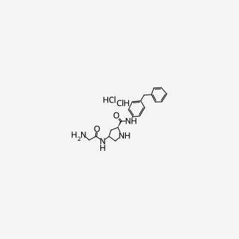 Cl.Cl.NCC(=O)NC1CN[C@H](C(=O)Nc2ccc(Cc3ccccc3)cc2)C1